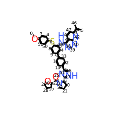 COc1ccc(Sc2ccc(-c3ccc(-c4c[nH]c([C@@H]5CCCN5C(=O)[C@@H]5CCCO5)n4)cc3)cc2Nc2ncnc3nc(C(C)C)ccc23)cc1